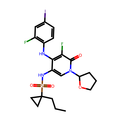 CCCC1(S(=O)(=O)Nc2cn(C3CCCO3)c(=O)c(F)c2Nc2ccc(I)cc2F)CC1